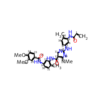 C=CC(=O)Nc1cc(Nc2ncc(C(=O)Nc3cc(NC(=O)c4ccc(OC)c(OC)c4)ccc3C)c(NC)n2)ccc1C